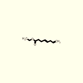 C=CCC=CCCC(=O)OCC